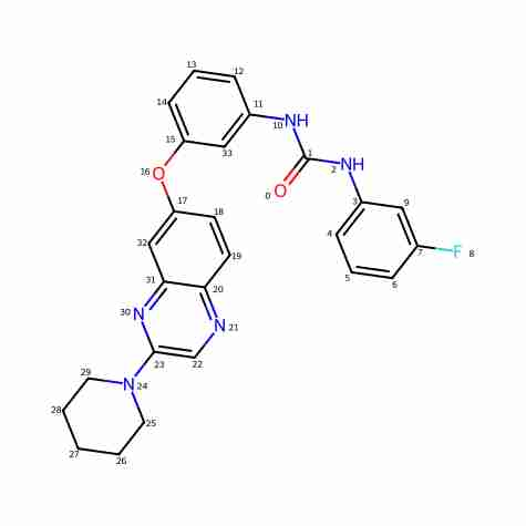 O=C(Nc1cccc(F)c1)Nc1cccc(Oc2ccc3ncc(N4CCCCC4)nc3c2)c1